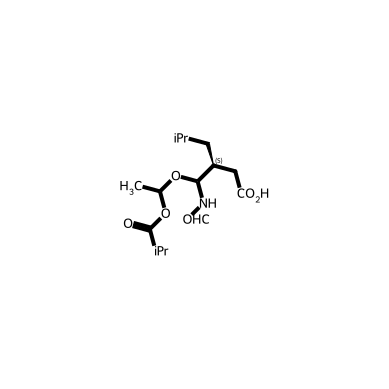 CC(C)C[C@@H](CC(=O)O)C(NC=O)OC(C)OC(=O)C(C)C